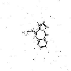 CSC1=Nc2ccccc2Cn2ccnc21